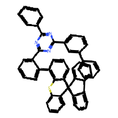 c1ccc(-c2cccc(-c3nc(-c4ccccc4)nc(-c4ccccc4-c4cccc5c4Sc4ccccc4C54c5ccccc5-c5ccccc54)n3)c2)cc1